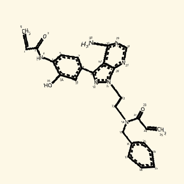 C=CC(=O)Nc1ccc(-c2nn(CCN(Cc3ccccc3)C(=O)C=C)c3ncnc(N)c23)cc1O